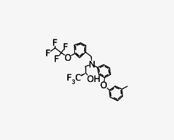 Cc1cccc(Oc2cccc(N(Cc3cccc(OC(F)(F)C(F)F)c3)C[C@@H](O)C(F)(F)F)c2)c1